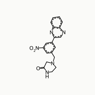 O=C1CN(Cc2cc(-c3cnc4ccccc4n3)cc([N+](=O)[O-])c2)CCN1